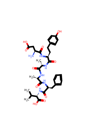 CC(C)[C@H](NC(=O)[C@H](Cc1ccccc1)NC(=O)[C@H](C)NC(=O)[C@H](C)NC(=O)[C@H](CCc1ccc(O)cc1)NC(=O)[C@@H](N)CC(=O)O)C(=O)O